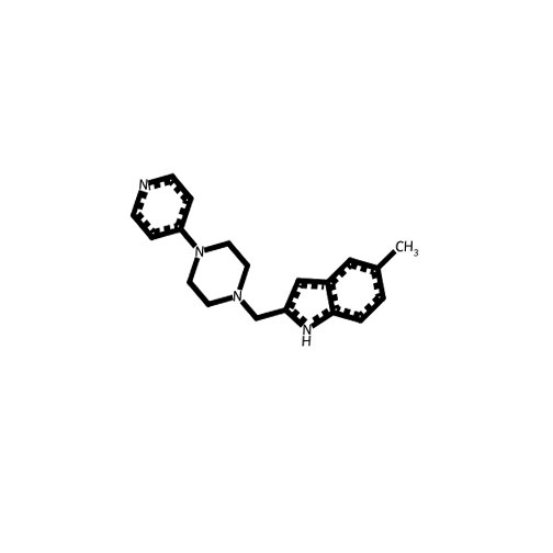 Cc1ccc2[nH]c(CN3CCN(c4ccncc4)CC3)cc2c1